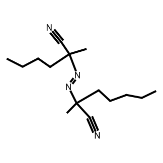 CCCCCC(C)(C#N)/N=N/C(C)(C#N)CCCC